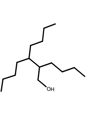 CCCC[C](CCCC)C(CO)CCCC